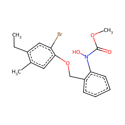 CCc1cc(Br)c(OCc2ccccc2N(O)C(=O)OC)cc1C